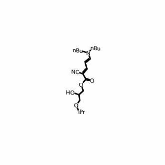 CCCCN(/C=C/C=C(\C#N)C(=O)OCC(O)COC(C)C)CCCC